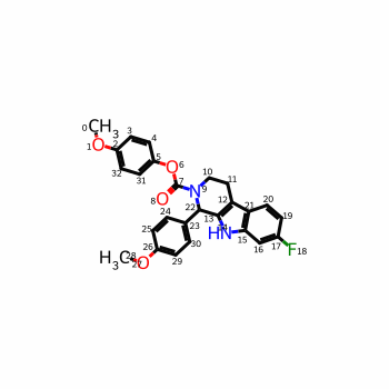 COc1ccc(OC(=O)N2CCc3c([nH]c4cc(F)ccc34)C2c2ccc(OC)cc2)cc1